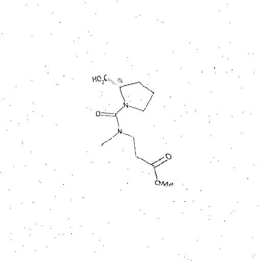 COC(=O)CCN(C)C(=O)N1CCC[C@H]1C(=O)O